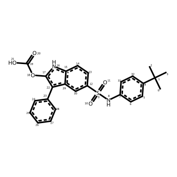 CC(C)(C)c1ccc(NS(=O)(=O)c2ccc3[nH]c(OC(=O)O)c(-c4ccccc4)c3c2)cc1